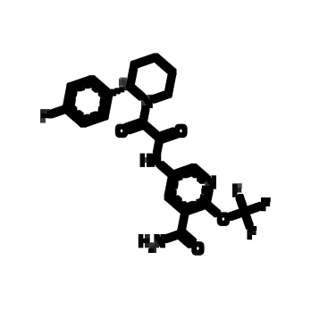 NC(=O)c1cc(NC(=O)C(=O)N2CCCC[C@H]2c2ccc(F)cc2)cnc1OC(F)(F)F